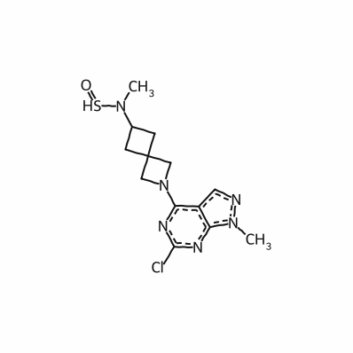 CN([SH]=O)C1CC2(C1)CN(c1nc(Cl)nc3c1cnn3C)C2